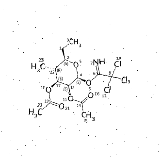 CC[C@H]1O[C@@H](OC(=N)C(Cl)(Cl)Cl)[C@@H](OC(C)=O)[C@@H](OC(C)=O)[C@@H]1C